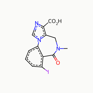 CN1Cc2c(C(=O)O)ncn2-c2cccc(I)c2C1=O